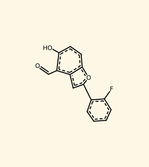 O=Cc1c(O)ccc2oc(-c3ccccc3F)cc12